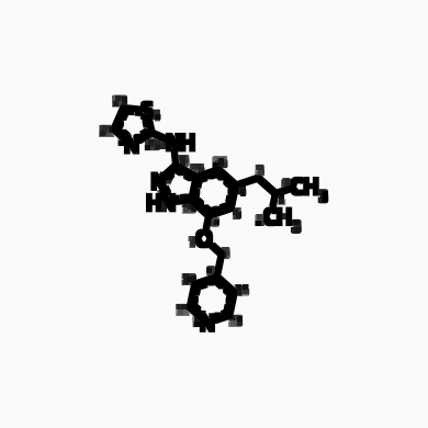 CC(C)Cc1cc(OCc2ccncc2)c2[nH]nc(Nc3nccs3)c2c1